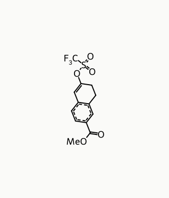 COC(=O)c1ccc2c(c1)CCC(OS(=O)(=O)C(F)(F)F)=C2